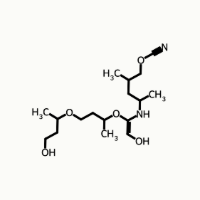 CC(COC#N)CC(C)N/C(=C\O)OC(C)CCOC(C)CCO